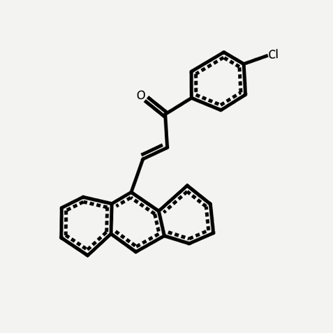 O=C(C=Cc1c2ccccc2cc2ccccc12)c1ccc(Cl)cc1